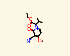 CCOC(=O)C(C(C)C)n1ccc(OC)c(C#N)c1=O